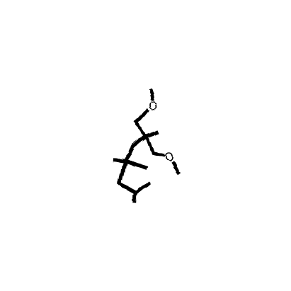 COCC(C)(COC)CC(C)(C)CC(C)C